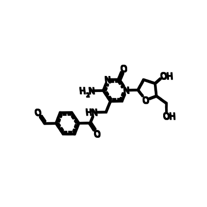 Nc1nc(=O)n(C2CC(O)C(CO)O2)cc1CNC(=O)c1ccc(C=O)cc1